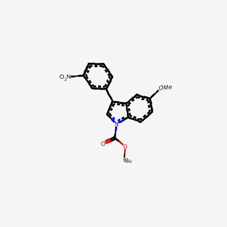 COc1ccc2c(c1)c(-c1cccc([N+](=O)[O-])c1)cn2C(=O)OC(C)(C)C